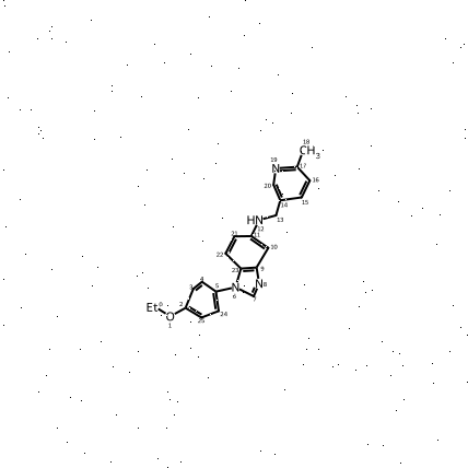 CCOc1ccc(-n2cnc3cc(NCc4ccc(C)nc4)ccc32)cc1